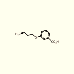 C=CCCOc1cccc(C(=O)O)c1